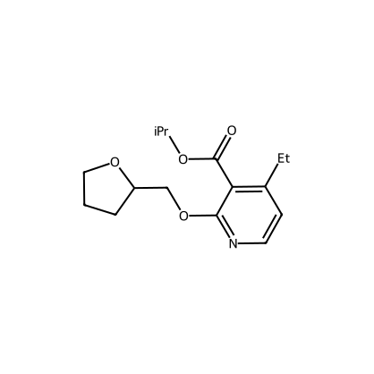 CCc1ccnc(OCC2CCCO2)c1C(=O)OC(C)C